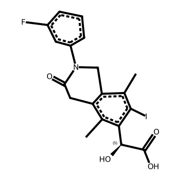 Cc1c(I)c([C@H](O)C(=O)O)c(C)c2c1CN(c1cccc(F)c1)C(=O)C2